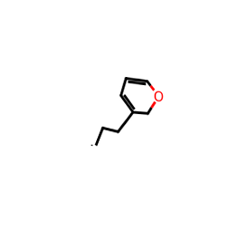 [CH2]CCC1=CC=COC1